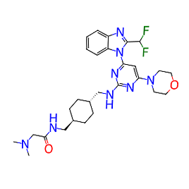 CN(C)CC(=O)NC[C@H]1CC[C@H](CNc2nc(N3CCOCC3)cc(-n3c(C(F)F)nc4ccccc43)n2)CC1